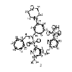 Cn1ccc(S(=O)(=O)N(Cc2ccccc2)c2cccc(N3CCOCC3)c2)n1.Cn1ccc(S(=O)(=O)O)n1